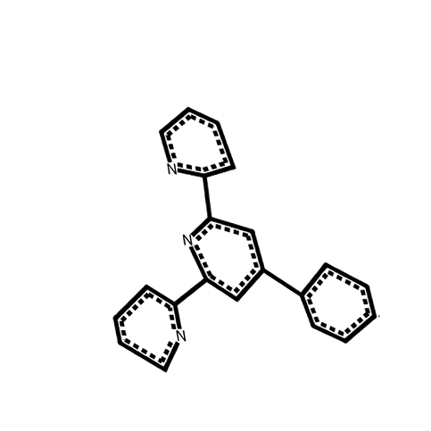 [c]1ccc(-c2cc(-c3ccccn3)nc(-c3ccccn3)c2)cc1